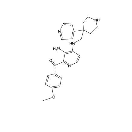 COc1ccc(C(=O)c2nccc(NCC3(c4ccncc4)CCNCC3)c2N)cc1